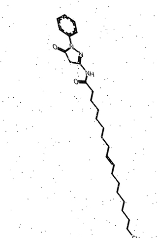 CCCCCCCCC=CCCCCCCCC(=O)NC1=NN(c2ccccc2)C(=O)C1